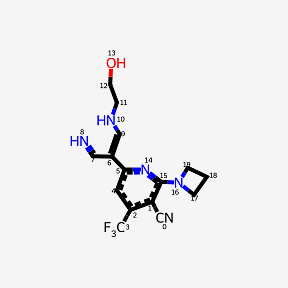 N#Cc1c(C(F)(F)F)cc(/C(C=N)=C/NCCO)nc1N1CCC1